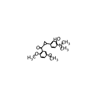 COc1ccc(OC)c(C(=O)C2CC2c2ccc(N(C)C)c(O)c2)c1